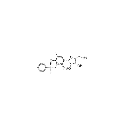 Cc1cn([C@@H]2O[C@H](CO)C(O)C2O)c(=O)n(CC(F)(F)c2ccccc2)c1=O